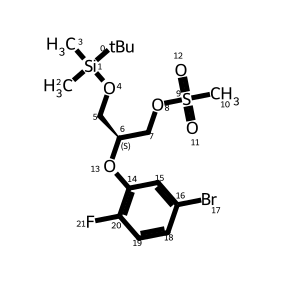 CC(C)(C)[Si](C)(C)OC[C@@H](COS(C)(=O)=O)Oc1cc(Br)ccc1F